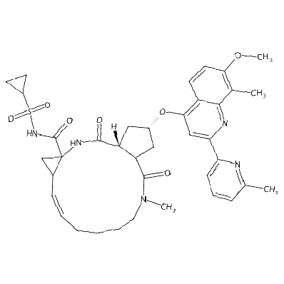 COc1ccc2c(O[C@@H]3CC4C(=O)N(C)CCCC/C=C\C5CC5(C(=O)NS(=O)(=O)C5CC5)NC(=O)[C@@H]4C3)cc(-c3cccc(C)n3)nc2c1C